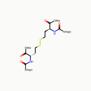 CCCCCCCC(=O)N[C@@H](CCSSCC[C@H](NC(=O)CCCCCCC)C(=O)OC)C(=O)OC